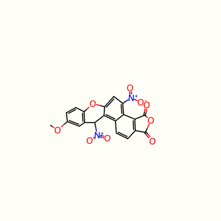 COc1ccc2c(c1)C([N+](=O)[O-])c1c(cc([N+](=O)[O-])c3c4c(ccc13)C(=O)OC4=O)O2